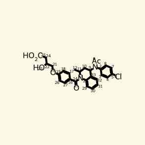 CC(=O)N(c1ccc(Cl)cc1)C1CC(C)N(C(=O)c2ccc(OCC(O)CC(=O)O)cc2)c2ccccc21